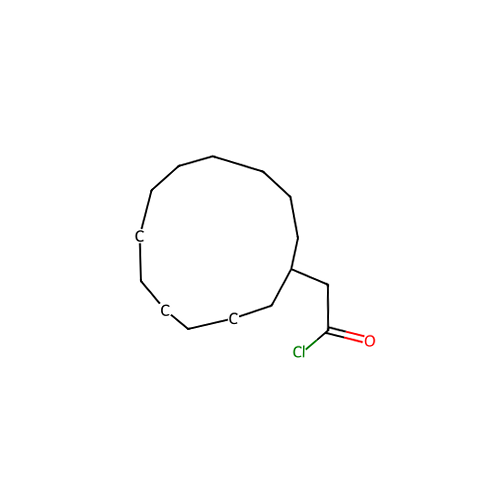 O=C(Cl)CC1CCCCCCCCCCCC1